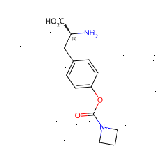 N[C@@H](Cc1ccc(OC(=O)N2CCC2)cc1)C(=O)O